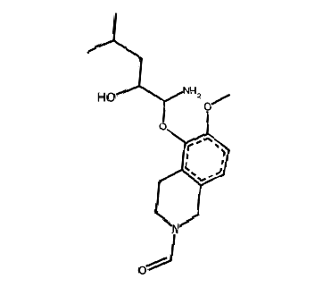 COc1ccc2c(c1OC(N)C(O)CC(C)C)CCN(C=O)C2